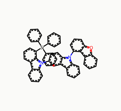 c1ccc([Si](c2ccccc2)(c2ccccc2)c2cccc3c4ccccc4n(-c4ccc5c(c4)c4ccccc4n5-c4cccc5oc6ccccc6c45)c23)cc1